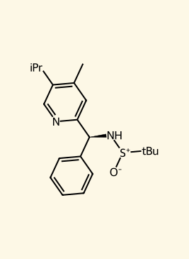 Cc1cc([C@@H](N[S+]([O-])C(C)(C)C)c2ccccc2)ncc1C(C)C